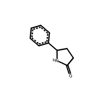 O=C1CCC(c2ccccc2)N1